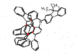 CC1(C)c2ccccc2-c2ccc(N(c3ccc4c(c3)C3(c5ccccc5-c5ccccc5-4)c4ccccc4-c4c3ccc3c4-c4ccccc4C3)c3ccccc3-c3ccc(-c4ccccc4)cc3)cc21